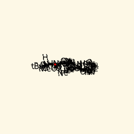 COC(=O)[C@H](CCCCNC(=O)OC(C)(C)C)NC(=O)CNC(=O)n1ccc2c(N(C)[C@H]3CN(C(=O)CC#N)CC[C@H]3COC(=O)CNC(=O)n3ccc4c(N(C)[C@H]5CN(C(=O)CC#N)CC[C@H]5C)ncnc43)ncnc21